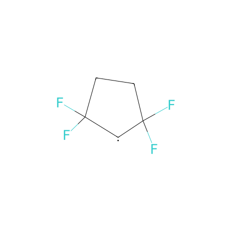 FC1(F)[CH]C(F)(F)CC1